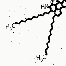 CCCCCCCCCCCCCc1ccc2c3cccc4cccc(c5c(=N)c(=N)c(CCCCCCCCCCCCC)c1c25)c43